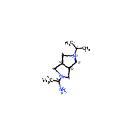 CC(C)N1CC2CN(C(C)N)CC2C1